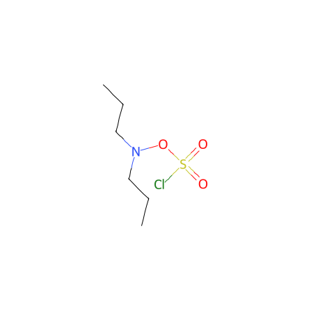 CCCN(CCC)OS(=O)(=O)Cl